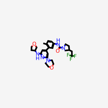 Cc1ccc(NC(=O)N2CCC(CC(F)(F)F)C2)cc1-c1cc(NC2CCOC2)nc(N2CCOCC2)c1